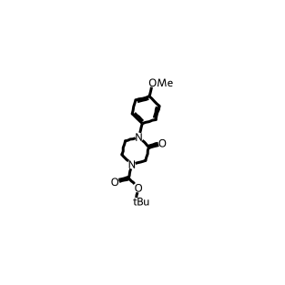 COc1ccc(N2CCN(C(=O)OC(C)(C)C)CC2=O)cc1